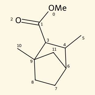 COC(=O)C1C(C)C2CCC1(C)C2